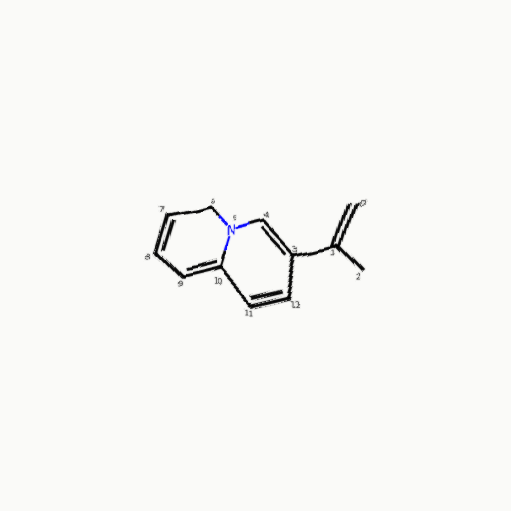 C=C(C)C1=CN2CC=CC=C2C=C1